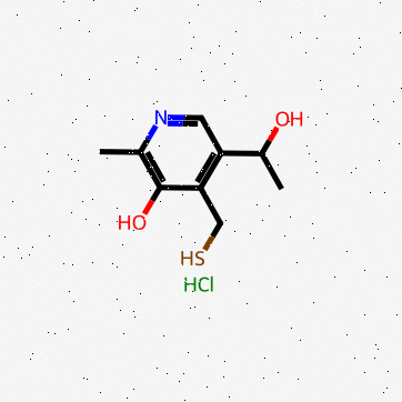 Cc1ncc(C(C)O)c(CS)c1O.Cl